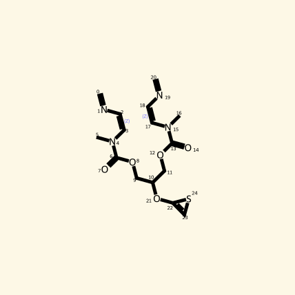 C=N/C=C\N(C)C(=O)OCC(COC(=O)N(C)/C=C\N=C)OC1=CS1